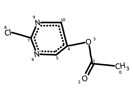 CC(=O)Oc1cnc(Cl)nc1